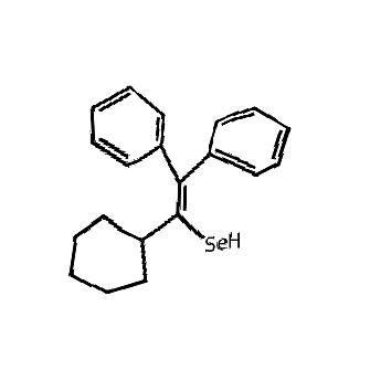 [SeH]C(=C(c1ccccc1)c1ccccc1)C1CCCCC1